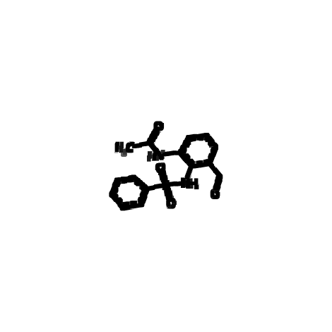 CC(=O)Nc1cccc(C=O)c1NS(=O)(=O)c1ccccc1